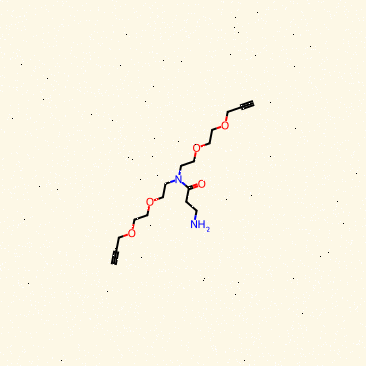 C#CCOCCOCCN(CCOCCOCC#C)C(=O)CCN